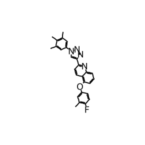 Cc1cc(Oc2cccc3nc(-c4cn(-c5cc(C)c(C)c(C)c5)nn4)ccc23)ccc1F